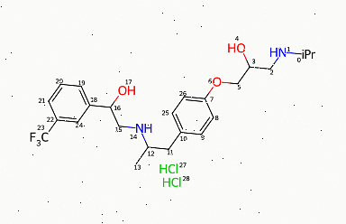 CC(C)NCC(O)COc1ccc(CC(C)NCC(O)c2cccc(C(F)(F)F)c2)cc1.Cl.Cl